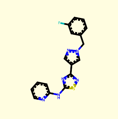 Fc1cccc(Cn2cc(-c3nsc(Nc4ccccn4)n3)cn2)c1